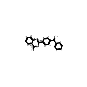 O=C(c1ccccc1)c1ccc(-c2nc3ccccc3c(=O)o2)cc1